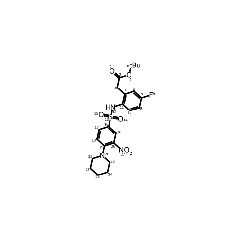 CC(C)(C)OC(=O)Cc1cc(F)ccc1NS(=O)(=O)c1ccc(N2CCCCC2)c([N+](=O)[O-])c1